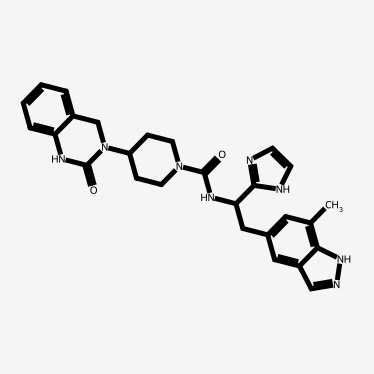 Cc1cc(CC(NC(=O)N2CCC(N3Cc4ccccc4NC3=O)CC2)c2ncc[nH]2)cc2cn[nH]c12